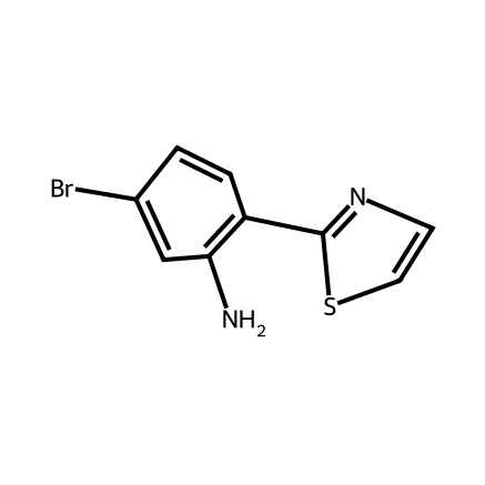 Nc1cc(Br)ccc1-c1nccs1